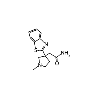 CN1CCC(CC(N)=O)(c2nc3ccccc3s2)C1